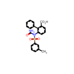 Cc1cccc(S(=O)(=O)N(C(N)=O)c2cccc(C(=O)O)c2-c2ccccc2)c1